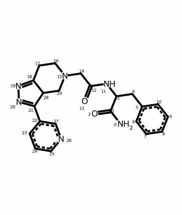 NC(=O)C(Cc1ccccc1)NC(=O)CN1CCC2=NN=C(c3cccnc3)C2C1